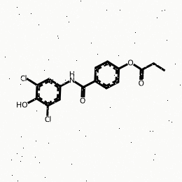 CCC(=O)Oc1ccc(C(=O)Nc2cc(Cl)c(O)c(Cl)c2)cc1